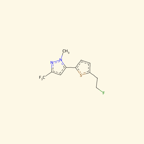 Cn1nc(C(F)(F)F)cc1-c1ccc(CCF)s1